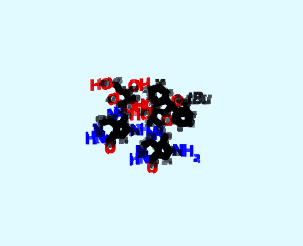 CC(C)(C)[SiH2]OC(c1ccccc1)(c1ccccc1)C1OC(n2cc3c(N)cc4c(=O)[nH]ncc(n2)c34)C(C)(O)C1O.CC1(O)C(O)C(CO)OC1n1cc2c(N)cc3c(=O)[nH]ncc(n1)c23